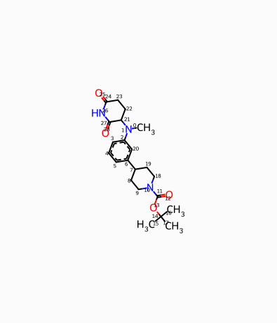 CN(c1cccc(C2CCN(C(=O)OC(C)(C)C)CC2)c1)C1CCC(=O)NC1=O